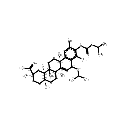 Cc1c(OC(=O)OC(C)C)c(O)cc2c1C(SC(C)C)C=C1[C@@]2(C)CC[C@@]2(C)[C@@H]3C[C@](C)(C(N)=O)CC[C@]3(C)CC[C@]12C